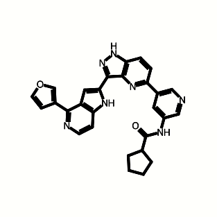 O=C(Nc1cncc(-c2ccc3[nH]nc(-c4cc5c(-c6ccoc6)nccc5[nH]4)c3n2)c1)C1CCCC1